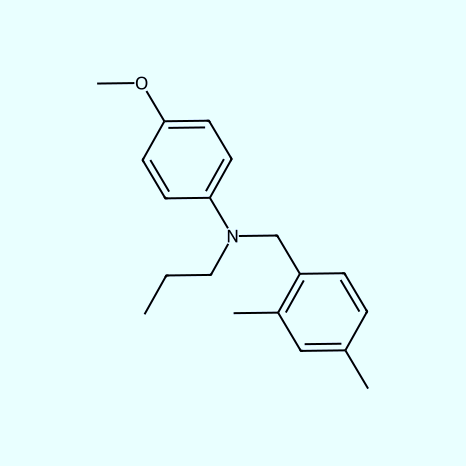 CCCN(Cc1ccc(C)cc1C)c1ccc(OC)cc1